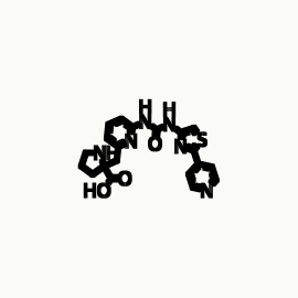 O=C(Nc1cccc(CC2(C(=O)O)CCCN2)n1)Nc1csc(-c2ccncc2)n1